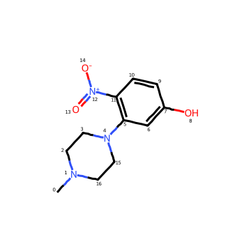 CN1CCN(c2cc(O)ccc2[N+](=O)[O-])CC1